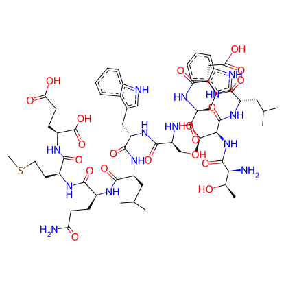 CSCC[C@H](NC(=O)[C@H](CCC(N)=O)NC(=O)[C@H](CC(C)C)NC(=O)[C@H](Cc1c[nH]c2ccccc12)NC(=O)[C@H](CO)NC(=O)[C@H](Cc1c[nH]c2ccccc12)NC(=O)[C@H](CC(=O)O)NC(=O)[C@H](CC(C)C)NC(=O)[C@@H](NC(=O)[C@@H](N)[C@@H](C)O)[C@@H](C)O)C(=O)N[C@@H](CCC(=O)O)C(=O)O